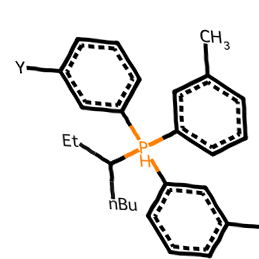 CCCCC(CC)[PH](c1cccc(C)c1)(c1ccc[c]([Y])c1)c1ccc[c]([Y])c1